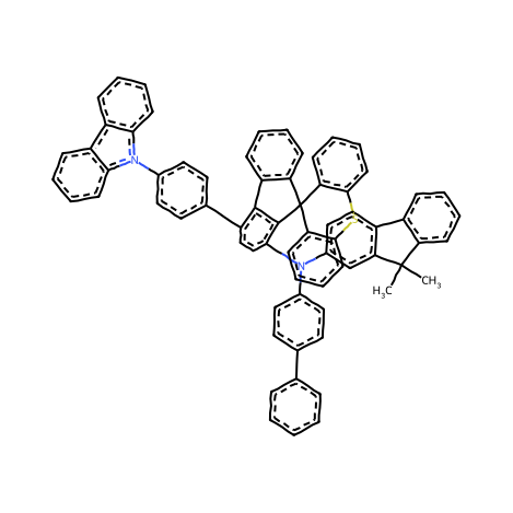 CC1(C)c2ccccc2-c2ccc(N(c3ccc(-c4ccccc4)cc3)c3ccc(-c4ccc(-n5c6ccccc6c6ccccc65)cc4)c4c3C3(c5ccccc5Sc5ccccc53)c3ccccc3-4)cc21